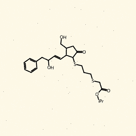 CC(C)OC(=O)CSCCCSC1C(=O)CC(CO)C1C=CC(O)Cc1ccccc1